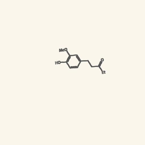 CCC(=O)CCc1ccc(O)c(OC)c1